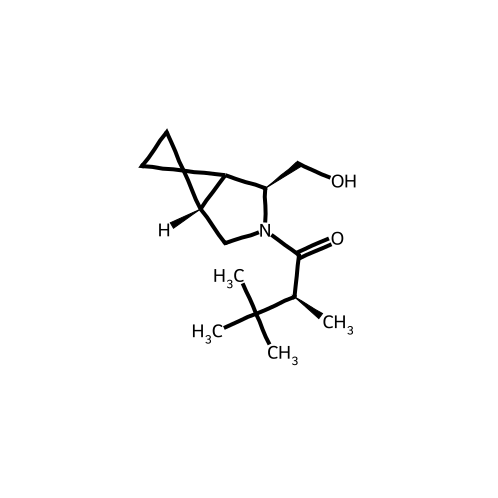 C[C@H](C(=O)N1C[C@H]2C([C@H]1CO)C21CC1)C(C)(C)C